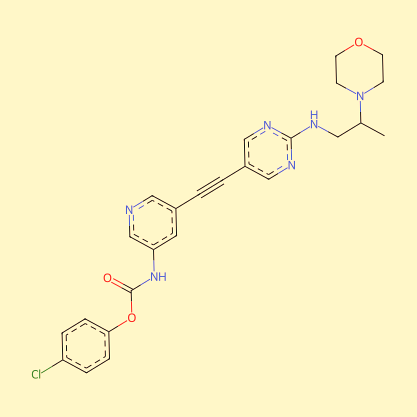 CC(CNc1ncc(C#Cc2cncc(NC(=O)Oc3ccc(Cl)cc3)c2)cn1)N1CCOCC1